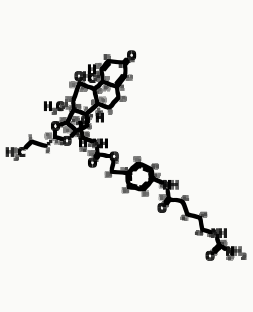 CCC[C@H]1O[C@@H]2CC3[C@@H]4CCC5=CC(=O)C=C[C@]5(C)C4[C@@H](O)C[C@]3(C)[C@]2(C(=O)CNC(=O)OCc2ccc(NC(=O)CCCCNC(N)=O)cc2)O1